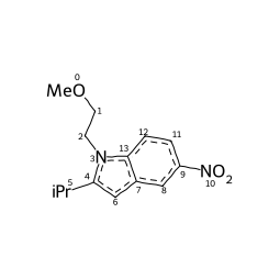 COCCn1c(C(C)C)cc2cc([N+](=O)[O-])ccc21